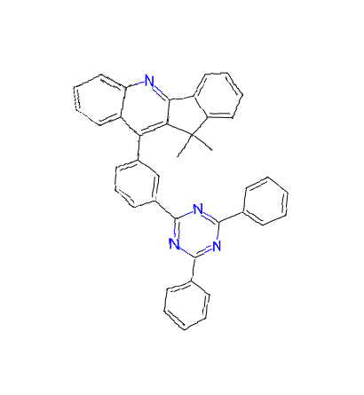 CC1(C)c2ccccc2-c2nc3ccccc3c(-c3cccc(-c4nc(-c5ccccc5)nc(-c5ccccc5)n4)c3)c21